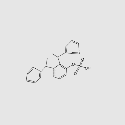 CC(c1ccccc1)c1cccc(OS(=O)(=O)O)c1C(C)c1ccccc1